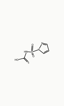 O=S(=O)(NC(O)=S)n1cccn1